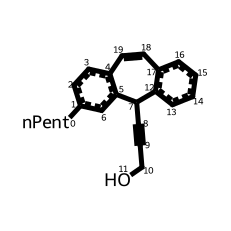 CCCCCc1ccc2c(c1)C(C#CCO)c1ccccc1C=C2